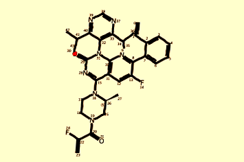 C=Cc1ccccc1-c1nc2c(cc1F)c(N1CCN(C(=O)C(=C)F)C[C@@H]1C)nc(=O)n2-c1c(C(C)C)ncnc1C(C)C